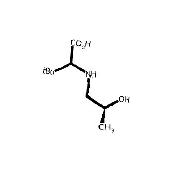 C[C@H](O)CNC(C(=O)O)C(C)(C)C